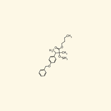 CCCCOC(=O)C(C)(O[SiH3])C(C)c1ccc(OCc2ccccc2)cc1